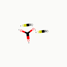 O=C([O-])[O-].[S]=[Bi+].[S]=[Bi+]